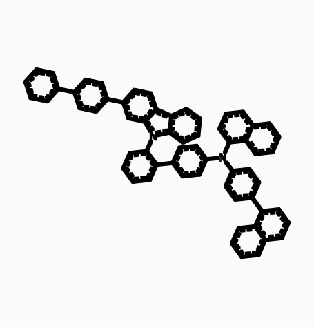 c1ccc(-c2ccc(-c3ccc4c5ccccc5n(-c5ccccc5-c5ccc(N(c6ccc(-c7cccc8ccccc78)cc6)c6cccc7ccccc67)cc5)c4c3)cc2)cc1